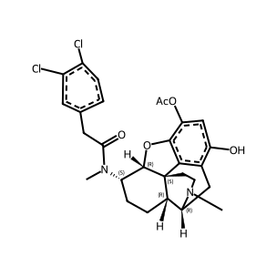 CC(=O)Oc1cc(O)c2c3c1O[C@H]1[C@@H](N(C)C(=O)Cc4ccc(Cl)c(Cl)c4)CC[C@H]4[C@@H](C2)N(C)CC[C@@]341